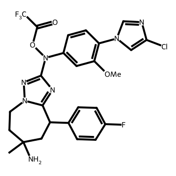 COc1cc(N(OC(=O)C(F)(F)F)c2nc3n(n2)CCC(C)(N)CC3c2ccc(F)cc2)ccc1-n1cnc(Cl)c1